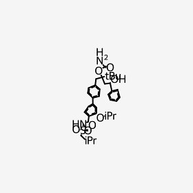 CC(C)CS(=O)(=O)NC(=O)c1ccc(-c2ccc(CC(C[C@@H](O)c3ccccc3)(OC(N)=O)C(C)(C)C)cc2)cc1OC(C)C